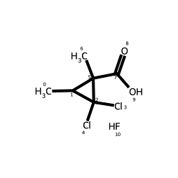 CC1C(Cl)(Cl)C1(C)C(=O)O.F